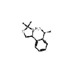 C[C@H](N)c1ccccc1C1COC(C)(C)O1